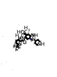 CC(C)(O)C1=CC(=N)/C(=C\NC2CCNCC2)C=C1NC(=O)c1cccc(C(F)(F)F)n1